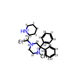 CCC([C@@H]1CCCCN1)N1CCN(C)C(c2ccccc2)(c2ccccc2)C1